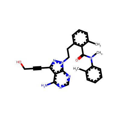 Cc1ccccc1N(C)C(=O)c1c(C)cccc1CCn1nc(C#CCO)c2c(N)ncnc21